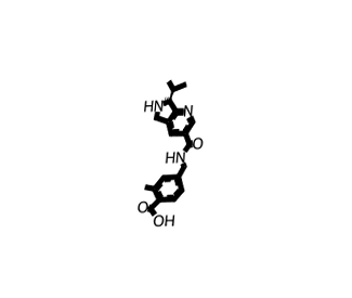 Cc1cc(CNC(=O)c2cnc3c(c2)CN[C@H]3C(C)C)ccc1C(=O)O